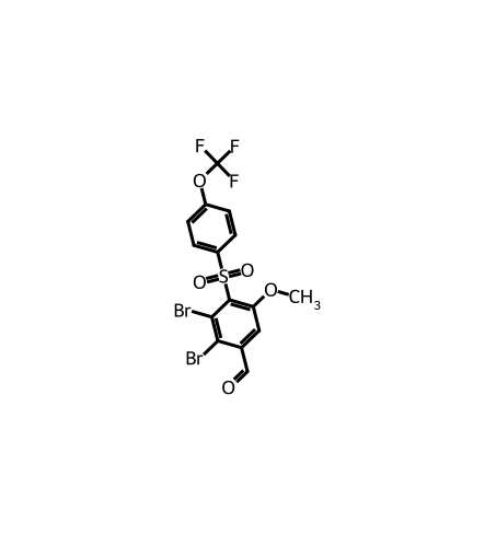 COc1cc(C=O)c(Br)c(Br)c1S(=O)(=O)c1ccc(OC(F)(F)F)cc1